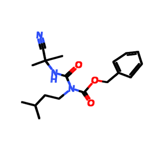 CC(C)CCN(C(=O)NC(C)(C)C#N)C(=O)OCc1ccccc1